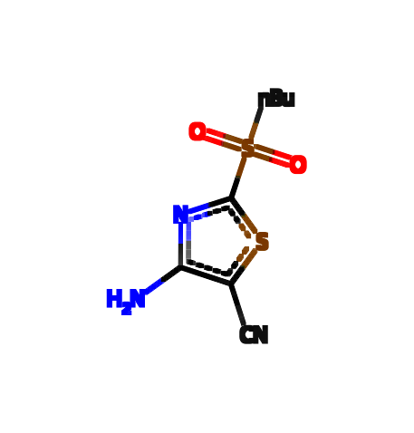 CCCCS(=O)(=O)c1nc(N)c(C#N)s1